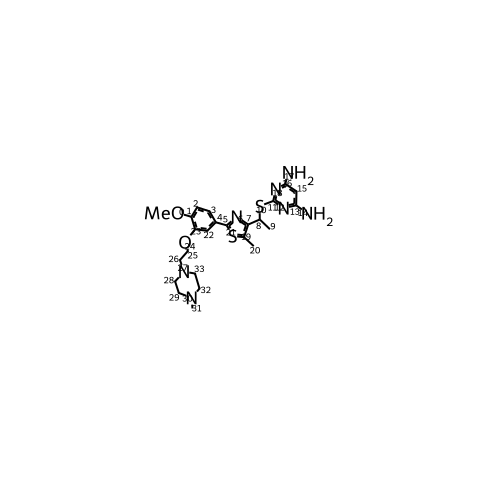 COc1ccc(-c2nc(C(C)Sc3nc(N)cc(N)n3)c(C)s2)cc1OCCN1CCN(C)CC1